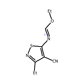 CCO/C=N/c1snc(CC)c1C#N